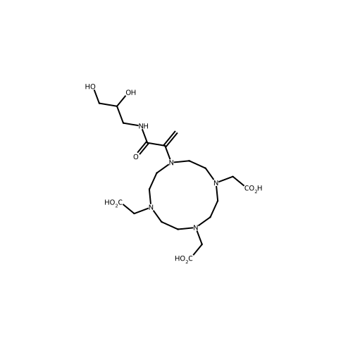 C=C(C(=O)NCC(O)CO)N1CCN(CC(=O)O)CCN(CC(=O)O)CCN(CC(=O)O)CC1